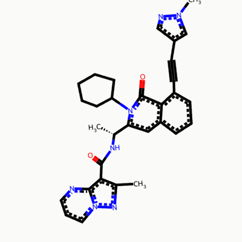 Cc1nn2cccnc2c1C(=O)N[C@H](C)c1cc2cccc(C#Cc3cnn(C)c3)c2c(=O)n1C1CCCCC1